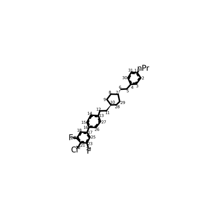 CCCc1ccc(CC[C@H]2CC[C@H](CCc3ccc(-c4cc(F)c(Cl)c(F)c4)cc3)CC2)cc1